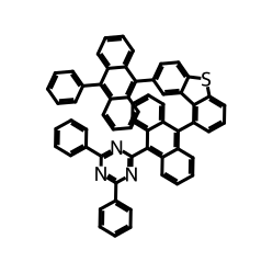 c1ccc(-c2nc(-c3ccccc3)nc(-c3c4ccccc4c(-c4cccc5sc6ccc(-c7c8ccccc8c(-c8ccccc8)c8ccccc78)cc6c45)c4ccccc34)n2)cc1